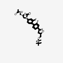 CC(=O)NC[C@H]1CN(c2ccc(-c3ccc(C4=NOC(CO[Si](C)(C)C(C)(C)C)C4)cc3F)c(F)c2)C(=O)O1